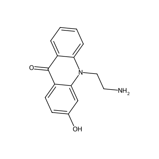 NCCn1c2ccccc2c(=O)c2ccc(O)cc21